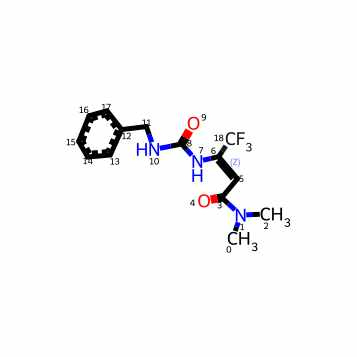 CN(C)C(=O)/C=C(\NC(=O)NCc1ccccc1)C(F)(F)F